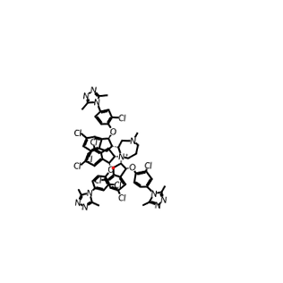 Cc1nnc(C)n1-c1ccc(O[C@@H]2c3cc(Cl)cc(Cl)c3C[C@H]2C2CN(C)CCC[N+]2([C@H]2Cc3c(Cl)cc(Cl)cc3[C@H]2Oc2ccc(-n3c(C)nnc3C)cc2Cl)[C@H]2Cc3c(Cl)cc(Cl)cc3[C@H]2Oc2ccc(-n3c(C)nnc3C)cc2Cl)c(Cl)c1